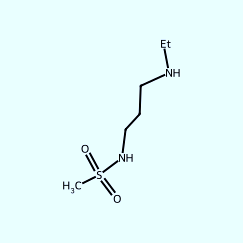 CCNCCCNS(C)(=O)=O